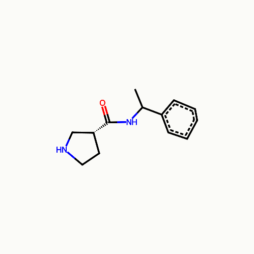 CC(NC(=O)[C@@H]1CCNC1)c1ccccc1